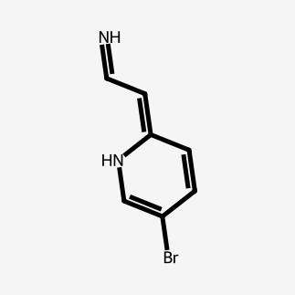 N=C/C=C1/C=CC(Br)=CN1